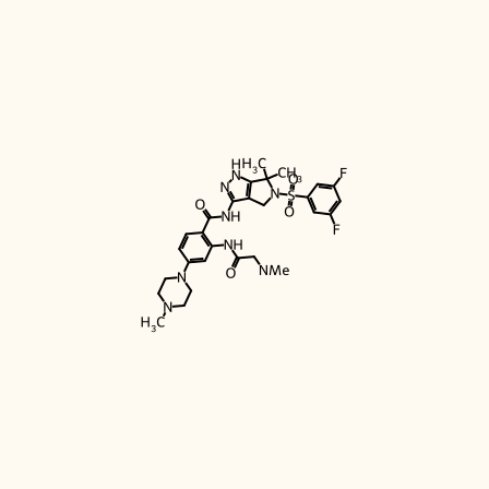 CNCC(=O)Nc1cc(N2CCN(C)CC2)ccc1C(=O)Nc1n[nH]c2c1CN(S(=O)(=O)c1cc(F)cc(F)c1)C2(C)C